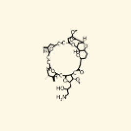 C=C1CC2CC[C@]34CC(OC)C(O3)[C@H]3CC(O4)[C@H]4OC(CCC4O3)CC(=O)CC3C(C[C@H]4O[C@@H](CC[C@@H]1O2)C[C@@H](C)C4=C)O[C@H](CC(O)CN)[C@@H]3OC